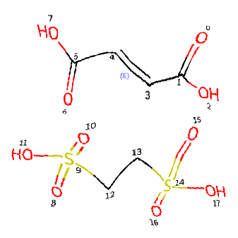 O=C(O)/C=C/C(=O)O.O=S(=O)(O)CCS(=O)(=O)O